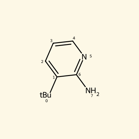 CC(C)(C)c1cccnc1N